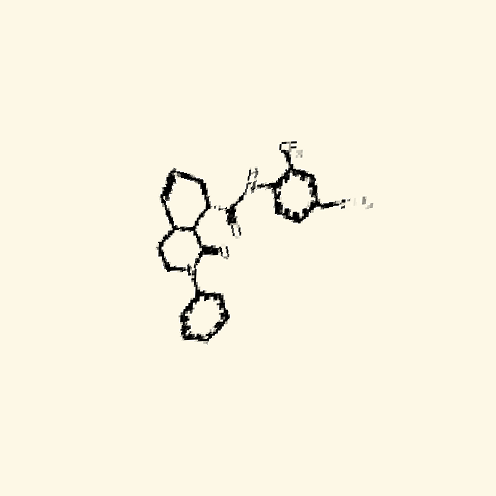 Cc1ccc(NC(=O)[C@H]2CC=CC3CCN(c4ccccc4)C(=O)C32)c(C(F)(F)F)c1